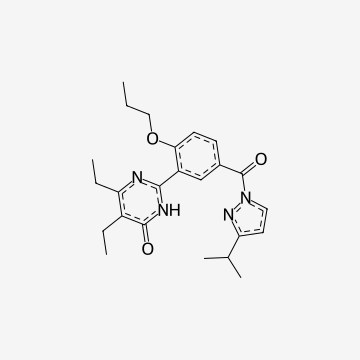 CCCOc1ccc(C(=O)n2ccc(C(C)C)n2)cc1-c1nc(CC)c(CC)c(=O)[nH]1